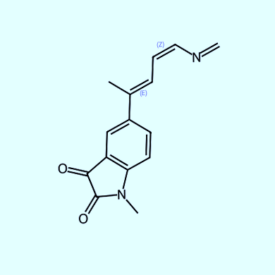 C=N/C=C\C=C(/C)c1ccc2c(c1)C(=O)C(=O)N2C